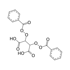 O=C(OOC(C(=O)O)C(OOC(=O)c1ccccc1)C(=O)O)c1ccccc1